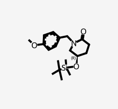 COc1ccc(CN2C[C@H](O[Si](C)(C)C(C)(C)C)CCC2=O)cc1